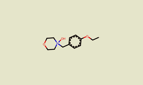 [CH2]COc1ccc(C[N+]2(O)CCOCC2)cc1